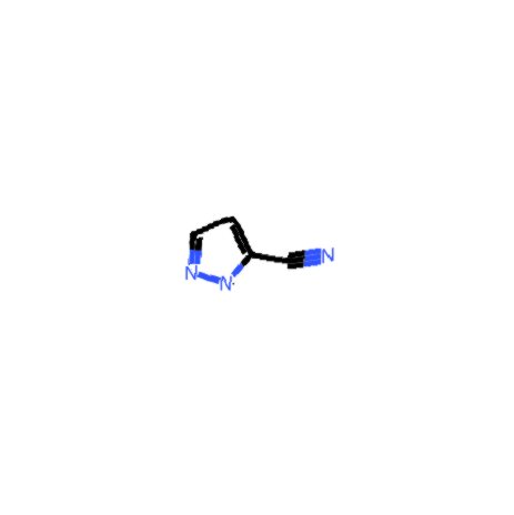 N#CC1=CC=N[N]1